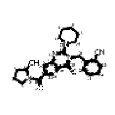 CC1CCCN1C(=O)c1cc2nc(N3CCCCC3)n(Cc3ccccc3C#N)c(=O)c2s1